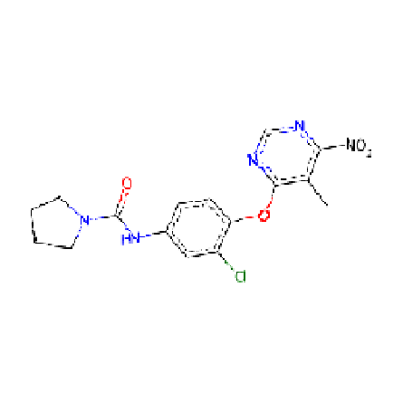 Cc1c(Oc2ccc(NC(=O)N3CCCC3)cc2Cl)ncnc1[N+](=O)[O-]